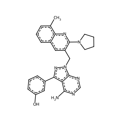 Cc1cccc2cc(Cn3nc(-c4cccc(O)c4)c4c(N)ncnc43)c(N3CCCC3)nc12